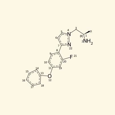 C[C@@H](N)Cn1ccc(-c2ccc(Oc3ccccc3)cc2F)n1